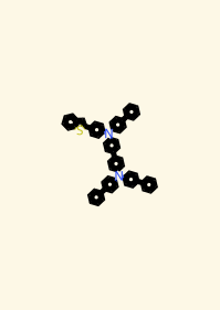 c1ccc(-c2ccc(N(c3ccc(-c4ccccc4)cc3)c3ccc(-c4ccc(N(c5ccc(-c6ccccc6)cc5)c5ccc(-c6cc7ccccc7s6)cc5)cc4)cc3)cc2)cc1